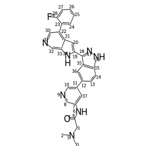 CN(C)CC(=O)Nc1cncc(-c2ccc3[nH]nc(-c4cc5c(-c6ccccc6F)cncc5[nH]4)c3c2)c1